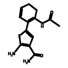 CC(=O)NC1=C(c2cc(C(N)=O)c(N)s2)C=CCC1